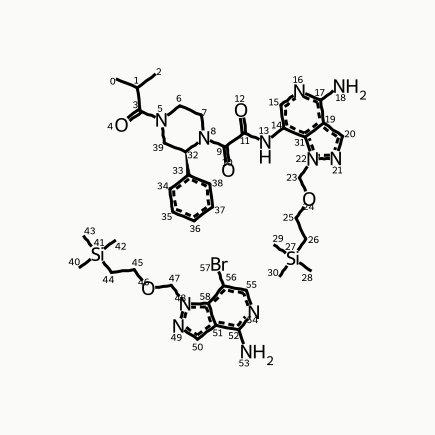 CC(C)C(=O)N1CCN(C(=O)C(=O)Nc2cnc(N)c3cnn(COCC[Si](C)(C)C)c23)[C@@H](c2ccccc2)C1.C[Si](C)(C)CCOCn1ncc2c(N)ncc(Br)c21